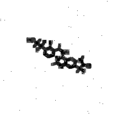 Cc1nc(NC(C)c2cccc(C(F)(F)C(C)(C)O)c2F)c2cc3c(cc2n1)C(C)(F)C(=O)N3C